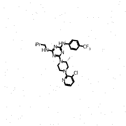 CC(C)CNc1nc(Nc2ccc(C(F)(F)F)cc2)nc(N2CCN(c3ncccc3Cl)C[C@H]2C)n1